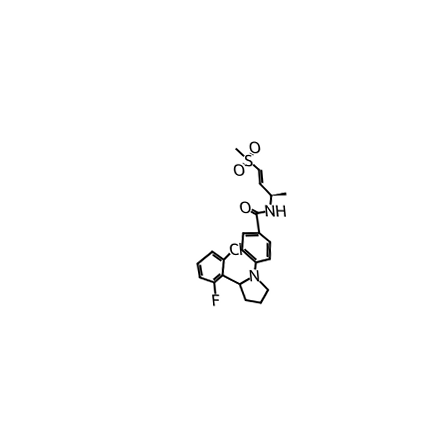 C[C@H](/C=C/S(C)(=O)=O)NC(=O)c1ccc(N2CCCC2c2c(F)cccc2Cl)cc1